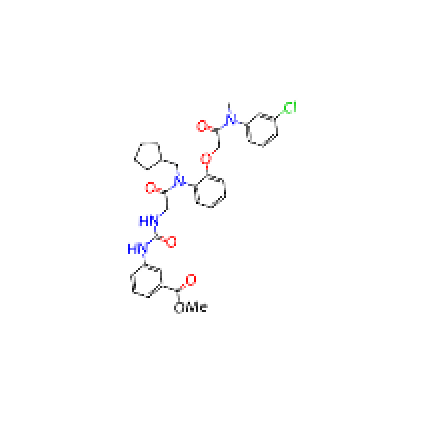 COC(=O)c1cccc(NC(=O)NCC(=O)N(CC2CCCC2)c2ccccc2OCC(=O)N(C)c2cccc(Cl)c2)c1